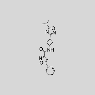 CC(C)c1nc([C@H]2C[C@@H](NC(=O)c3cc(-c4ccccc4)on3)C2)no1